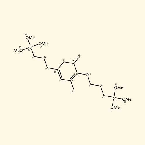 CO[Si](CCCOC1=C(C)C=C(CCC[Si](OC)(OC)OC)CC1C)(OC)OC